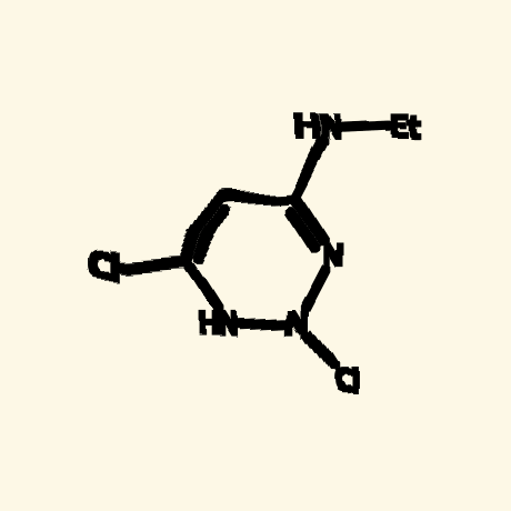 CCNC1=NN(Cl)NC(Cl)=C1